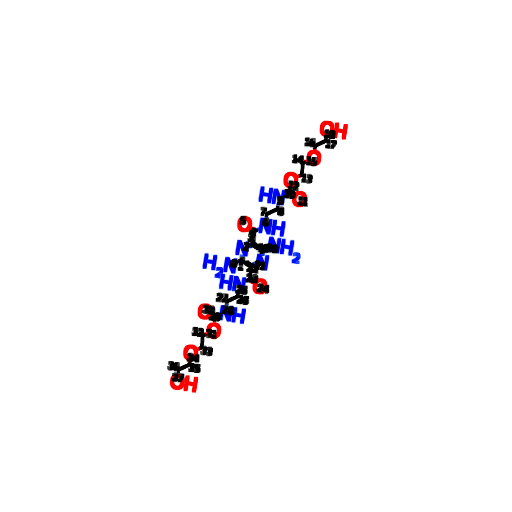 Nc1nc(C(=O)NCCNC(=O)OCCOCCO)c(N)nc1C(=O)NCCNC(=O)OCCOCCO